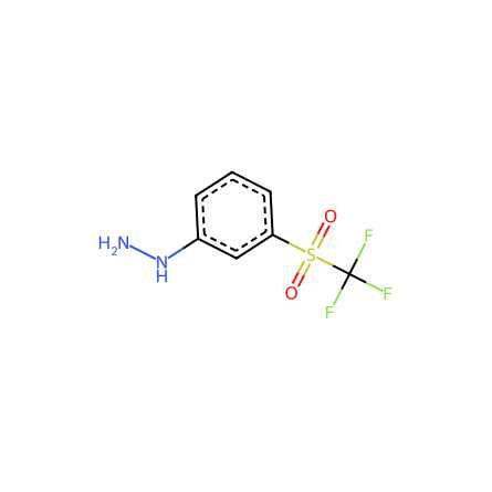 NNc1cccc(S(=O)(=O)C(F)(F)F)c1